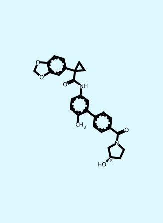 Cc1ccc(NC(=O)C2(c3ccc4c(c3)OCO4)CC2)cc1-c1ccc(C(=O)N2CC[C@@H](O)C2)cc1